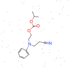 CC(C)OC(=O)OCCN(CCC#N)c1ccccc1